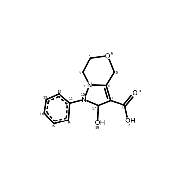 O=C(O)C1=C2COCCN2N(c2ccccc2)C1O